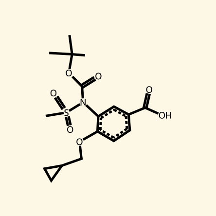 CC(C)(C)OC(=O)N(c1cc(C(=O)O)ccc1OCC1CC1)S(C)(=O)=O